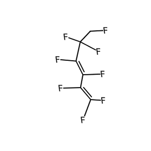 FCC(F)(F)C(F)=C(F)C(F)=C(F)F